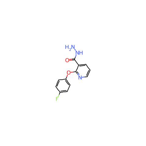 NNC(=O)c1cccnc1Oc1ccc(F)cc1